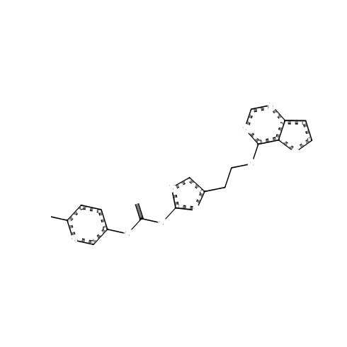 Cc1ccc(NC(=O)Nc2ncc(CCNc3ncnc4ccsc34)s2)cn1